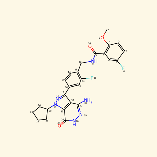 COc1ccc(F)cc1C(=O)NCc1ccc(-c2nn(C3CCCC3)c3c(=O)[nH]nc(N)c23)cc1F